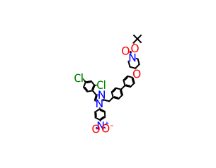 CC(C)(C)COC(=O)N1CCC(Oc2ccc(-c3ccc(Cc4nc(-c5ccc(Cl)cc5Cl)cn4-c4ccc([N+](=O)[O-])cc4)cc3)cc2)CC1